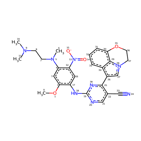 COc1cc(N(C)CCN(C)C)c([N+](=O)[O-])cc1Nc1ncc(C#N)c(-c2cn3c4c(cccc24)OCC3)n1